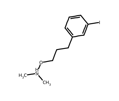 C[SiH](C)OCCCc1cccc(I)c1